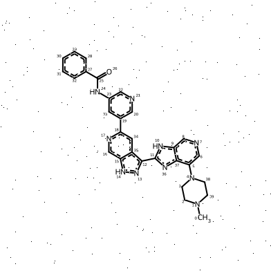 CN1CCN(c2cncc3[nH]c(-c4n[nH]c5cnc(-c6cncc(NC(=O)c7ccccc7)c6)cc45)nc23)CC1